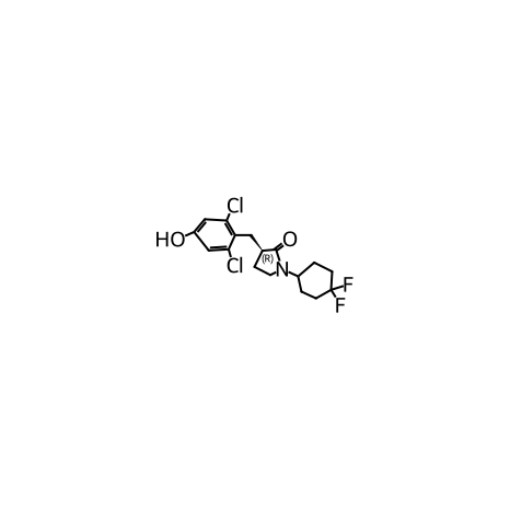 O=C1[C@H](Cc2c(Cl)cc(O)cc2Cl)CCN1C1CCC(F)(F)CC1